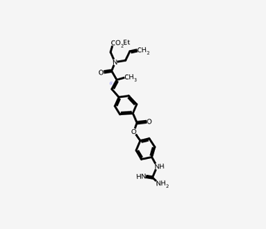 C=CCN(CC(=O)OCC)C(=O)/C(C)=C/c1ccc(C(=O)Oc2ccc(NC(=N)N)cc2)cc1